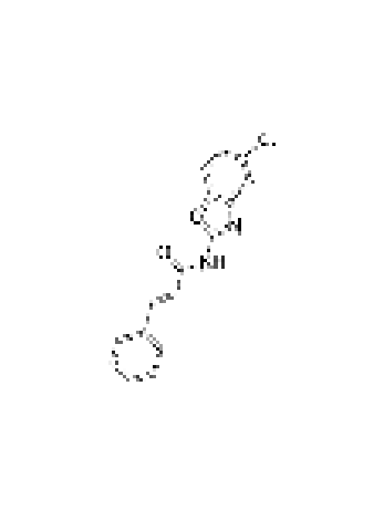 O=C(C=Cc1ccccc1)Nc1nc2cc(Cl)ccc2o1